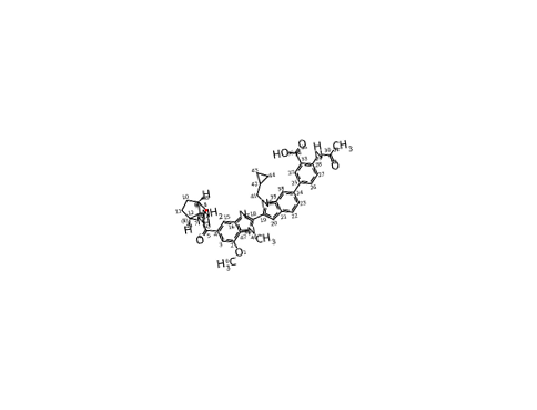 COc1cc(C(=O)N2C[C@H]3CC[C@@H]2[C@@H]3N)cc2nc(-c3cc4ccc(-c5ccc(NC(C)=O)c(C(=O)O)c5)cc4n3CC3CC3)n(C)c12